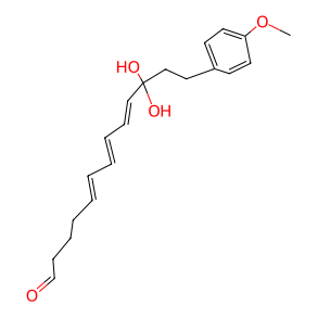 COc1ccc(CCC(O)(O)C=CC=CC=CCCCC=O)cc1